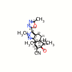 Cc1nnc(-c2c3c(nn2C)[C@@]2(C)C=C(C#N)C(=O)[C@@H](C)[C@@H]2CC3)o1